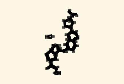 CC(=NO)c1ccc2nnc(Sc3ccc4ncc(N5CC[C@H](N(C)C)C5)cc4c3)n2c1.Cl